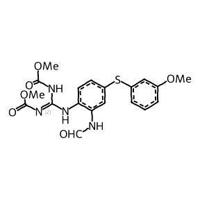 COC(=O)/N=C(\NC(=O)OC)Nc1ccc(Sc2cccc(OC)c2)cc1NC=O